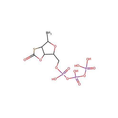 BC1OC(COP(=O)(O)OP(=O)(O)OP(=O)(O)O)C2OC(=O)SC12